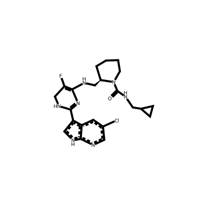 O=C(NCC1CC1)N1CCCC[C@@H]1CNC1=C(F)CNC(c2c[nH]c3ncc(Cl)cc23)=N1